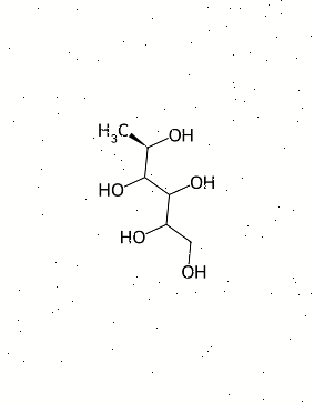 C[C@@H](O)C(O)C(O)C(O)CO